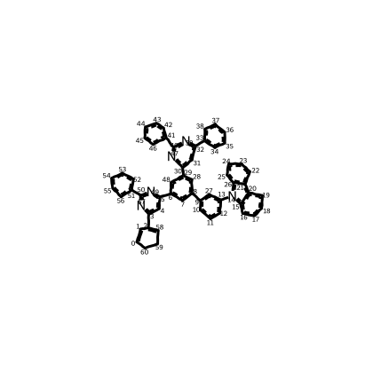 C1=CC(c2cc(-c3cc(-c4cccc(-n5c6ccccc6c6ccccc65)c4)cc(-c4cc(-c5ccccc5)nc(-c5ccccc5)n4)c3)nc(-c3ccccc3)n2)=CCC1